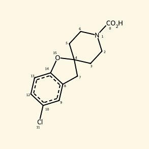 O=C(O)N1CCC2(CC1)Cc1cc(Cl)ccc1O2